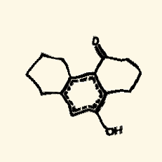 O=C1CCCc2c(O)cc3c(c21)CCCC3